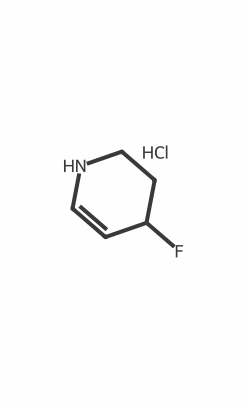 Cl.FC1C=CNCC1